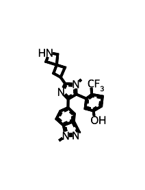 Cn1c(C2CC3(CNC3)C2)nc(-c2ccc3c(cnn3C)c2)c1-c1cc(O)ccc1C(F)(F)F